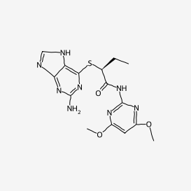 CC[C@H](Sc1nc(N)nc2nc[nH]c12)C(=O)Nc1nc(OC)cc(OC)n1